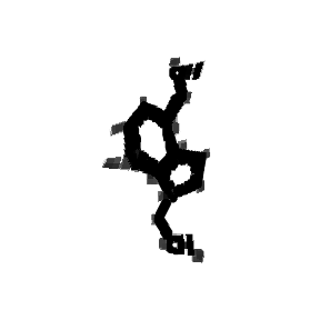 CCn1ccc2c(CO)ccnc21